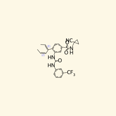 C/C=C\C(=C/C)c1ccc(S(=O)(=O)NC2(C#N)CC2)cc1NC(=O)Nc1cccc(C(F)(F)F)c1